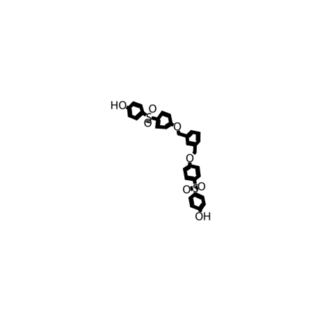 O=S(=O)(c1ccc(O)cc1)c1ccc(OCc2cccc(COc3ccc(S(=O)(=O)c4ccc(O)cc4)cc3)c2)cc1